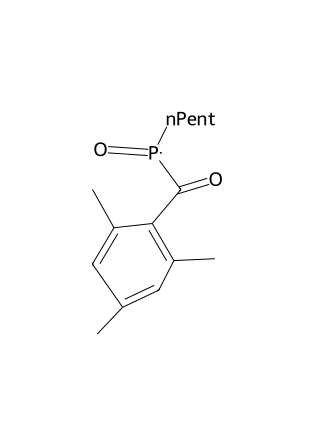 CCCCC[P](=O)C(=O)c1c(C)cc(C)cc1C